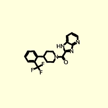 O=C(c1nc2ncccc2[nH]1)N1CCC(c2ccccc2C(F)(F)F)CC1